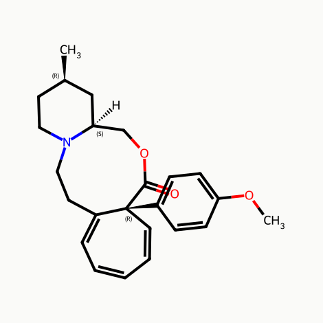 COc1ccc([C@@]23C=CC=CC=C2CCN2CC[C@@H](C)C[C@H]2COC3=O)cc1